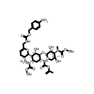 C=C(C)OC(=O)N[C@@H]1C[C@H](NC(=O)OC(C)(C)C)[C@@H](C2OC(CNC(=O)OCc3ccc([N+](=O)[O-])cc3)=CC[C@H]2N)[C@H](O)[C@H]1O[C@H]1OC[C@](C)(O)[C@H](N(C)C(=O)OC(C)(C)C)[C@H]1O